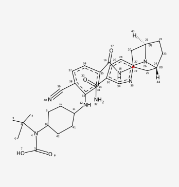 CC(C)(C)N(C(=O)O)C1CCC(Nc2cc(C(=O)NC3C[C@H]4CC[C@H](C3)N4c3ccc(C(N)=O)cn3)ccc2C#N)CC1